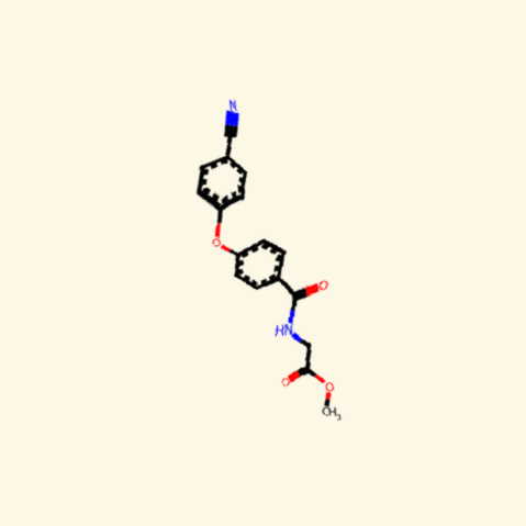 COC(=O)CNC(=O)c1ccc(Oc2ccc(C#N)cc2)cc1